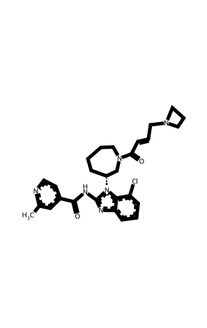 Cc1cc(C(=O)Nc2nc3cccc(Cl)c3n2[C@@H]2CCCCN(C(=O)/C=C/CN3CCC3)C2)ccn1